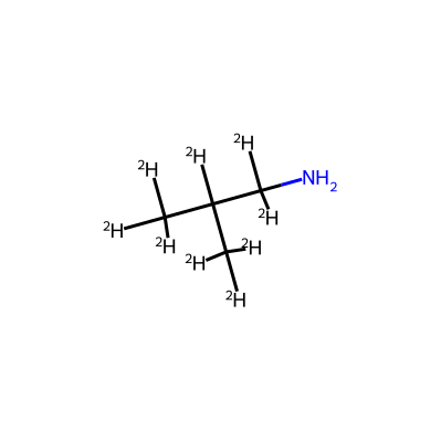 [2H]C([2H])([2H])C([2H])(C([2H])([2H])[2H])C([2H])([2H])N